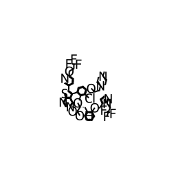 Cc1c(-c2c(-c3ccc(OCC(F)(F)F)nc3)sc3ncnc(O[C@H](Cc4ccccc4OCc4ccnn4CC(F)(F)F)C(=O)O)c23)ccc(OCCN2CCN(C)CC2)c1Cl